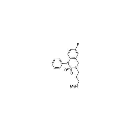 CNCCCN1Cc2cc(F)ccc2N(c2ccccc2)S1(=O)=O